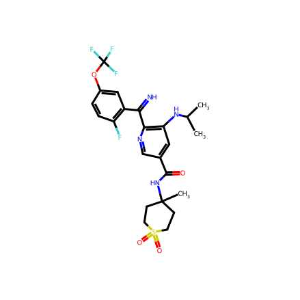 CC(C)Nc1cc(C(=O)NC2(C)CCS(=O)(=O)CC2)cnc1C(=N)c1cc(OC(F)(F)F)ccc1F